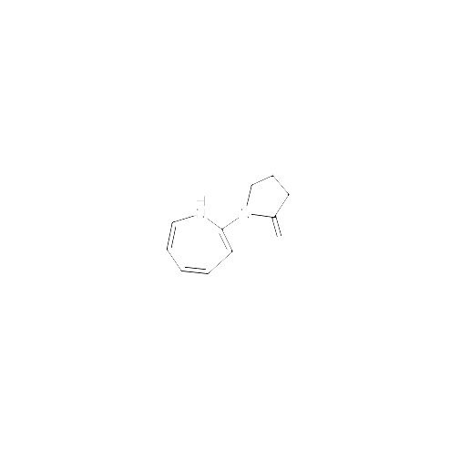 O=C1CCCN1C1=CC=CC=CN1